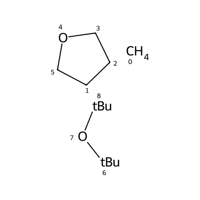 C.C1CCOC1.CC(C)(C)OC(C)(C)C